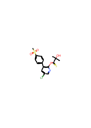 CC(C)(O)C(=S)Oc1ncc(Cl)cc1-c1ccc(S(C)(=O)=O)cc1